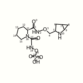 O=C(NOCC1CC2CC2N1)[C@@H]1CCCCN1C(=O)NOS(=O)(=O)O